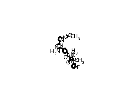 COC1CN(c2cccc(-c3cnc(N)c(-c4ccc(NC(=O)c5c(C)n(C)n(-c6cccc(F)c6)c5=O)cc4)n3)n2)C1